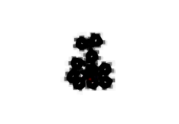 c1ccc(-c2ccccc2-n2c3ccccc3c3cccc(-n4c5ccc([Si](c6ccccc6)(c6ccccc6)c6ccccc6)cc5c5ccc(-n6c7ccccc7c7ccccc76)cc54)c32)cc1